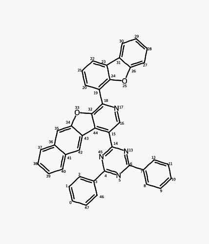 c1ccc(-c2nc(-c3ccccc3)nc(-c3cnc(-c4cccc5c4oc4ccccc45)c4oc5cc6ccccc6cc5c34)n2)cc1